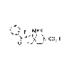 CNC1CN(C(=O)O)CCC12CCC(F)(C(=O)c1ccccc1)O2